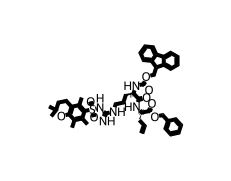 C=CC[C@H](NC(=O)[C@@H](CCCNC(=N)NS(=O)(=O)c1c(C)c(C)c2c(c1C)CCC(C)(C)O2)NC(=O)OCC1c2ccccc2-c2ccccc21)C(=O)OCc1ccccc1